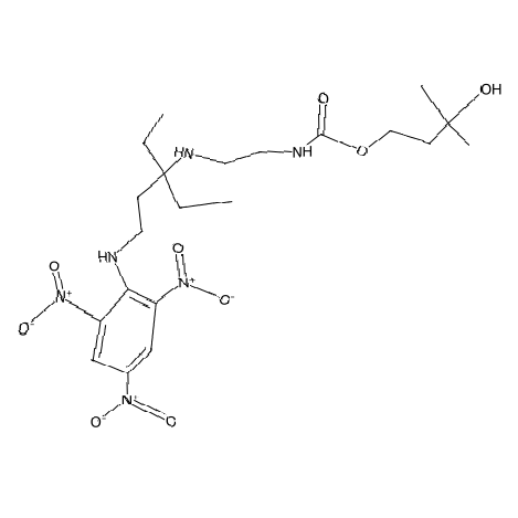 CCC(CC)(CCNc1c([N+](=O)[O-])cc([N+](=O)[O-])cc1[N+](=O)[O-])NCCNC(=O)OCCC(C)(C)O